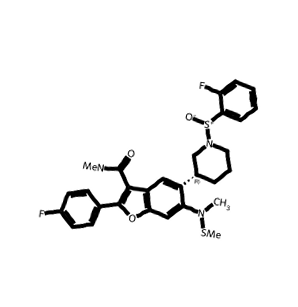 CNC(=O)c1c(-c2ccc(F)cc2)oc2cc(N(C)SC)c([C@H]3CCCN([S+]([O-])c4ccccc4F)C3)cc12